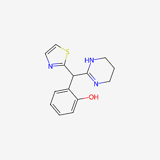 Oc1ccccc1C(C1=NCCCN1)c1nccs1